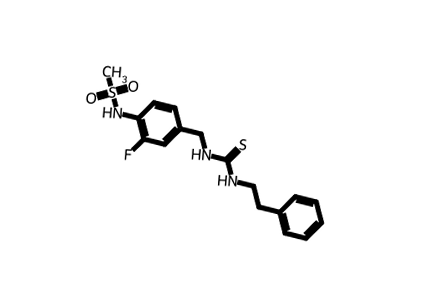 CS(=O)(=O)Nc1ccc(CNC(=S)NCCc2ccccc2)cc1F